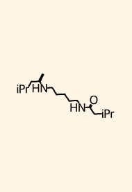 C=C(CC(C)C)NCCCCCNC(=O)CC(C)C